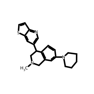 CN1Cc2cc(N3CCCCC3)ccc2C(c2cnc3ccsc3c2)C1